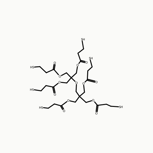 O=C(CCS)OCC(COC(=O)CCS)(COC(=O)CCS)COC(COC(=O)CCS)(COC(=O)CCS)COC(=O)CCS